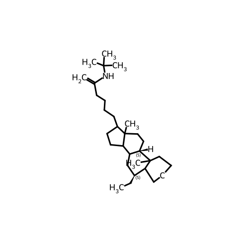 C=C(CCCCC1CCC2C3C[C@H](CC)C4CCCCC4(C)[C@H]3CCC12C)NC(C)(C)C